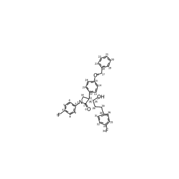 O=C1N(c2ccc(F)cc2)C[C@]1(c1ccc(OCc2ccccc2)cc1)C(O)CCc1ccc(F)cc1